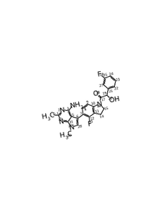 Cc1nc(N)c2c(-c3ccc4c(c3F)CCN4C(=O)C(O)c3cccc(F)c3)cn(C)c2n1